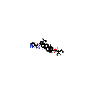 C=C(C)[C@@H]1CC[C@]2(c3nnc(-c4cccnc4)o3)CC[C@]3(C)[C@H](CC[C@@H]4[C@@]5(C)CC[C@H](OC(=O)[C@H]6[C@@H](CC)C6(C)C)C(C)(C)[C@@H]5CC[C@]43C)[C@@H]12